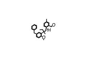 CCC(C)(Pc1ccc(C)cc1C=O)c1cc(Cc2ccccc2)ccc1OC